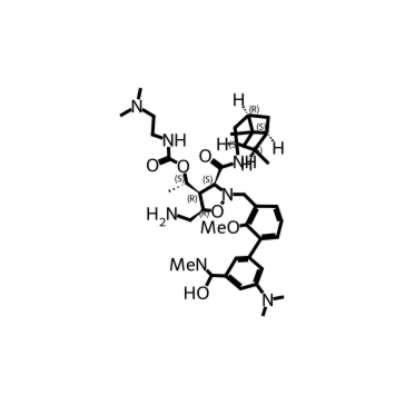 CNC(O)c1cc(-c2cccc(CN3O[C@@H](CN)[C@@H]([C@H](C)OC(=O)NCCN(C)C)[C@H]3C(=O)N[C@H]3C[C@H]4C[C@@H]([C@@H]3C)C4(C)C)c2OC)cc(N(C)C)c1